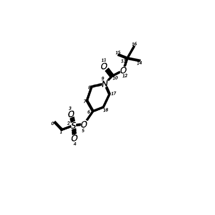 CCS(=O)(=O)OC1CCN(C(=O)OC(C)(C)C)CC1